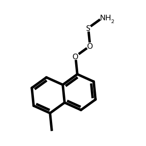 Cc1cccc2c(OOSN)cccc12